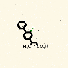 CC(CC(=O)O)c1ccc(-c2ccccc2)c(F)c1